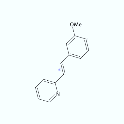 COc1[c]ccc(/C=C/c2ccccn2)c1